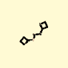 C1CC([S][Sn][S]C2CCS2)S1